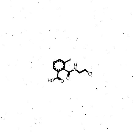 O=C(O)c1cccc(I)c1C(=O)NCCCl